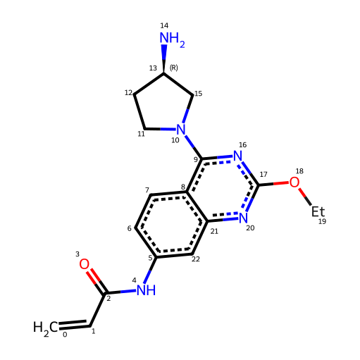 C=CC(=O)Nc1ccc2c(N3CC[C@@H](N)C3)nc(OCC)nc2c1